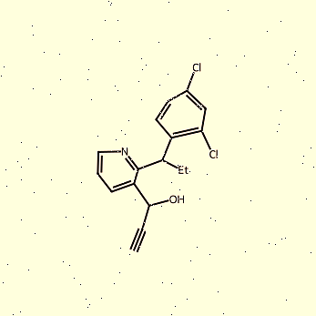 C#CC(O)c1cccnc1C(CC)c1ccc(Cl)cc1Cl